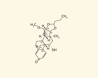 CCCC1O[C@H]2C[C@H]3[C@@H]4CCC5=CC(=O)C=C[C@]5(C)[C@H]4[C@@H](O)C[C@]3(C)[C@]2(C(=O)COC)O1